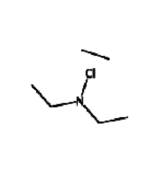 CC.CCN(Cl)CC